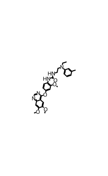 CCN(CCNC(=O)Nc1ccc(Oc2ncnc3cc(OC)c(OC)cc23)cc1OC)c1cccc(C)c1